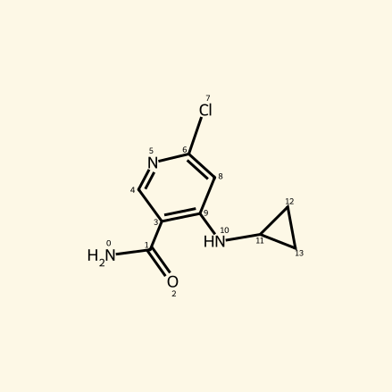 NC(=O)c1cnc(Cl)cc1NC1CC1